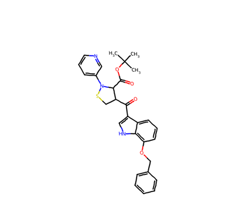 CC(C)(C)OC(=O)C1C(C(=O)c2c[nH]c3c(OCc4ccccc4)cccc23)CSN1c1cccnc1